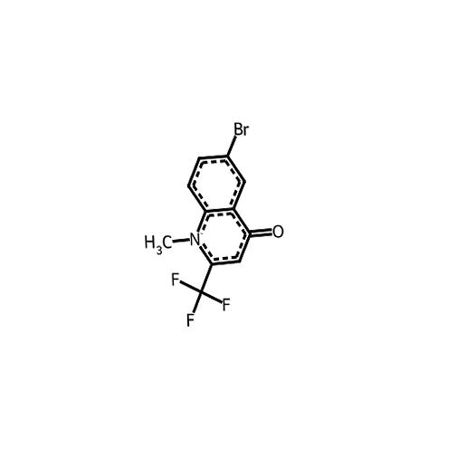 Cn1c(C(F)(F)F)cc(=O)c2cc(Br)ccc21